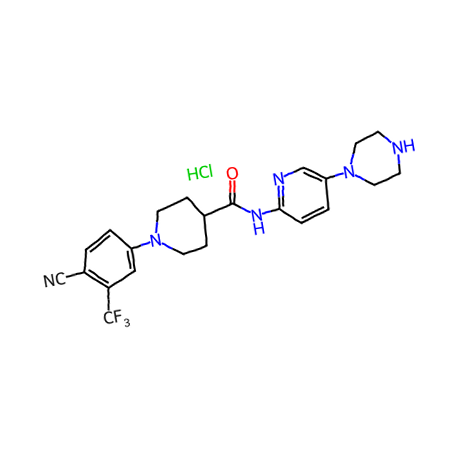 Cl.N#Cc1ccc(N2CCC(C(=O)Nc3ccc(N4CCNCC4)cn3)CC2)cc1C(F)(F)F